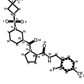 CCC1(O)CN(S(=O)(=O)N2CCC[C@H](C(=O)N3CCC[C@@H]3C(=O)NCc3ccc(C(F)(F)F)cc3F)C2)C1